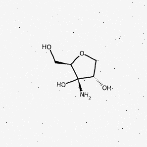 N[C@]1(O)[C@@H](O)[CH]O[C@@H]1CO